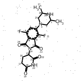 CC1CN(c2cc(F)c3c(c2F)C(=O)N(C2CCC(=O)NC2=O)C3=O)CC(C)N1